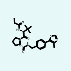 CCC(=O)N[C@H](C(=O)N1CCC[C@H]1C(=O)NCc1ccc(-c2scnc2C)cc1)C(C)(C)C